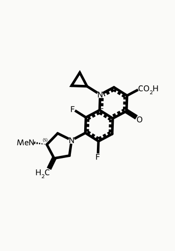 C=C1CN(c2c(F)cc3c(=O)c(C(=O)O)cn(C4CC4)c3c2F)C[C@H]1NC